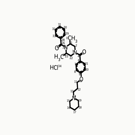 CC1CN(C(=O)c2ccc(OCCCN3CCCCC3)cc2)CC(C)N1C(=O)c1ccccc1.Cl